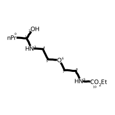 CCCC(O)NCCOCCNC(=O)OCC